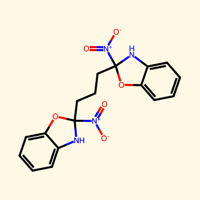 O=[N+]([O-])C1(CCCC2([N+](=O)[O-])Nc3ccccc3O2)Nc2ccccc2O1